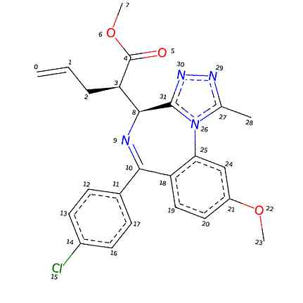 C=CC[C@@H](C(=O)OC)[C@@H]1N=C(c2ccc(Cl)cc2)c2ccc(OC)cc2-n2c(C)nnc21